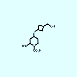 CC(C)(C)C1CC(OC2CC(CO)C2)CCN1C(=O)O